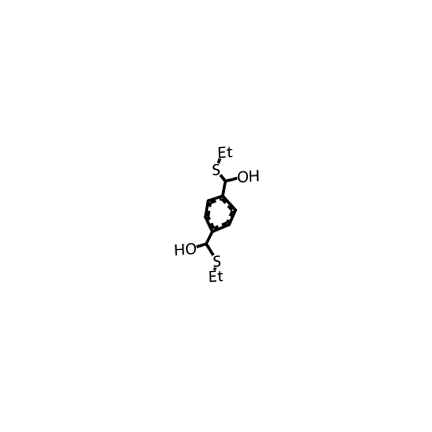 CCSC(O)c1ccc(C(O)SCC)cc1